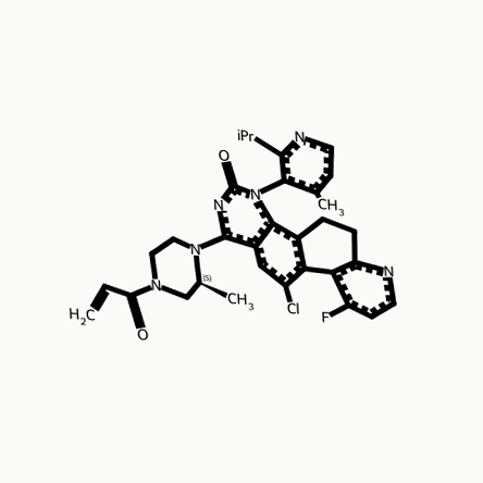 C=CC(=O)N1CCN(c2nc(=O)n(-c3c(C)ccnc3C(C)C)c3c4c(c(Cl)cc23)-c2c(F)ccnc2CC4)[C@@H](C)C1